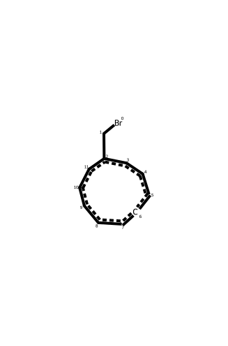 BrCc1ccccccccc1